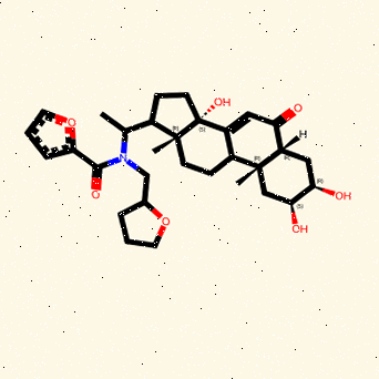 CC(C1CC[C@@]2(O)C3=CC(=O)[C@@H]4C[C@@H](O)[C@@H](O)C[C@]4(C)C3CC[C@]12C)N(CC1CCCO1)C(=O)c1ccco1